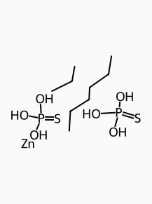 CCC.CCCCCC.OP(O)(O)=S.OP(O)(O)=S.[Zn]